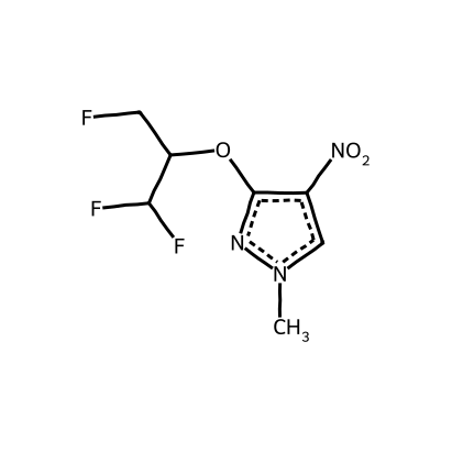 Cn1cc([N+](=O)[O-])c(OC(CF)C(F)F)n1